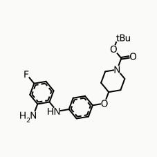 CC(C)(C)OC(=O)N1CCC(Oc2ccc(Nc3ccc(F)cc3N)cc2)CC1